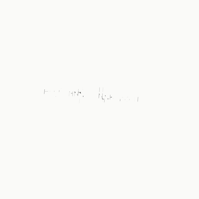 O=C(O)CCCCCNC(=O)NCCCCCCNC(=O)NCCCCCC(=O)O